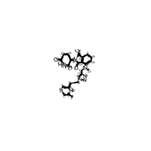 Cc1cncc(CCn2cc(CN(C)c3cccc4c3C(=O)N(C3CCC(=O)NC3=O)C4=O)nn2)n1